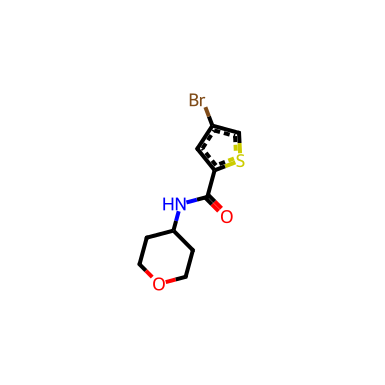 O=C(NC1CCOCC1)c1cc(Br)cs1